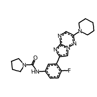 O=C(Nc1ccc(F)c(-c2cn3nc(N4CCCCC4)cnc3n2)c1)N1CCCC1